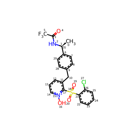 C[C@H](NC(=O)C(F)(F)F)c1ccc(Cc2ccc[n+](O)c2S(=O)(=O)c2ccccc2Cl)cc1